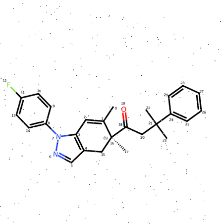 CC1=Cc2c(cnn2-c2ccc(F)cc2)C[C@]1(C)C(=O)CC(C)(C)c1ccccc1